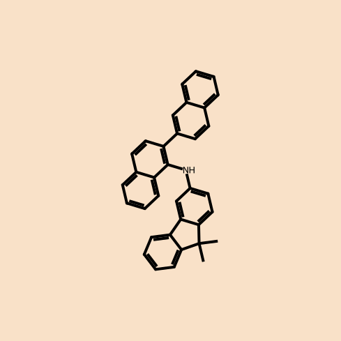 CC1(C)c2ccccc2-c2cc(Nc3c(-c4ccc5ccccc5c4)ccc4ccccc34)ccc21